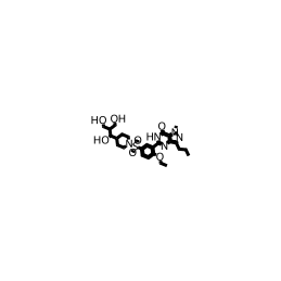 CCCc1nn(C)c2c(=O)[nH]c(-c3cc(S(=O)(=O)N4CCC(C(O)C(CO)CO)CC4)ccc3OCC)nc12